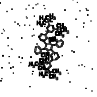 CC(C)(C)c1cc(-c2cccc3c2[nH]c2c(-c4ccccc4Cl)c4c([nH]c5c(-c6cc(C(C)(C)C)cc(C(C)(C)C)c6)cccc54)c(-c4ccccc4Cl)c23)cc(C(C)(C)C)c1